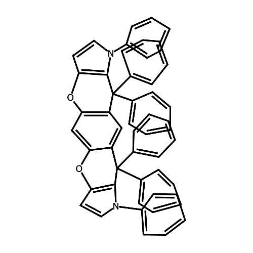 c1ccc(-n2ccc3c2C(c2ccccc2)(c2ccccc2)c2cc4c(cc2O3)Oc2ccn(-c3ccccc3)c2C4(c2ccccc2)c2ccccc2)cc1